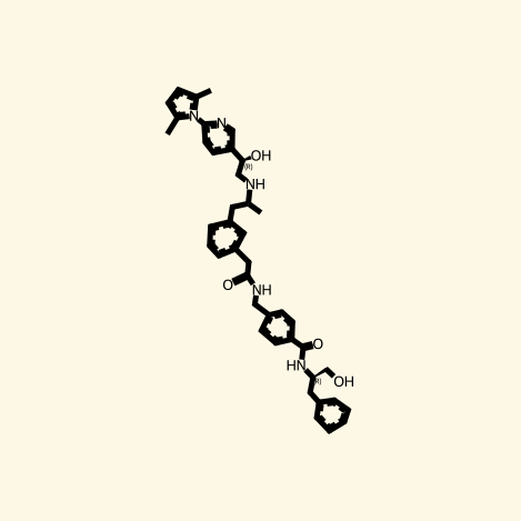 Cc1ccc(C)n1-c1ccc([C@@H](O)CNC(C)Cc2cccc(CC(=O)NCc3ccc(C(=O)N[C@@H](CO)Cc4ccccc4)cc3)c2)cn1